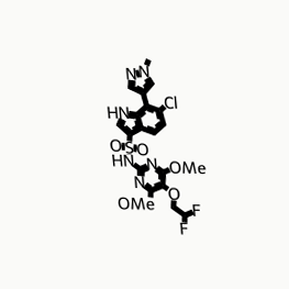 COc1nc(NS(=O)(=O)c2c[nH]c3c(-c4cnn(C)c4)c(Cl)ccc23)nc(OC)c1OCC(F)F